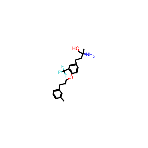 Cc1cccc(CCCOc2ccc(CCC(C)(N)CO)cc2C(F)(F)F)c1